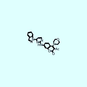 CC(=O)c1c(N2CCOCC2)c2ccc(Nc3nccc(-n4ncc5ccccc54)n3)cc2oc1=O